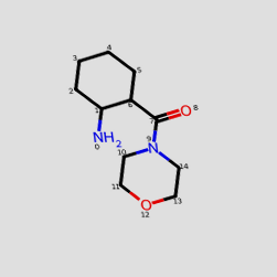 NC1CCCCC1C(=O)N1CCOCC1